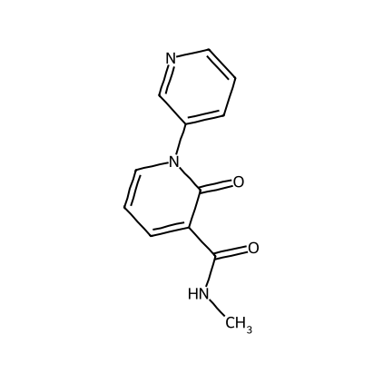 CNC(=O)c1cccn(-c2cccnc2)c1=O